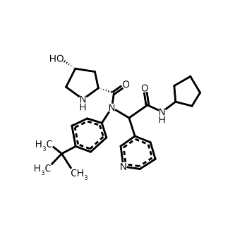 CC(C)(C)c1ccc(N(C(=O)[C@H]2C[C@@H](O)CN2)C(C(=O)NC2CCCC2)c2cccnc2)cc1